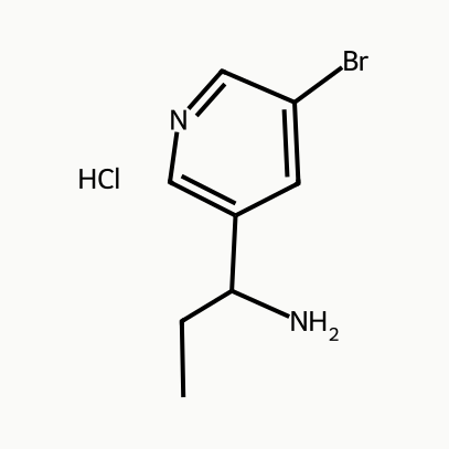 CCC(N)c1cncc(Br)c1.Cl